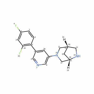 Fc1ccc(-c2cncc(N3C[C@@H]4CN[C@@H](C4)C3)c2)c(F)c1